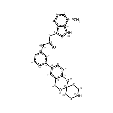 Cc1cccc2c(CC(=O)Nc3cccc(-c4ccc5c(c4)COC4(CCNCC4)O5)c3)c[nH]c12